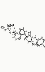 Cc1ccc(C[C@H](NC(=O)c2cccc3c2OCCC3NC[C@@H](N)CS)C(N)=O)cc1